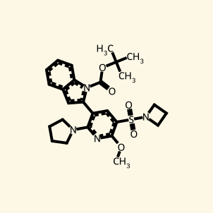 COc1nc(N2CCCC2)c(-c2cc3ccccc3n2C(=O)OC(C)(C)C)cc1S(=O)(=O)N1CCC1